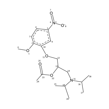 COc1ccc([N+](=O)[O-])cc1OCC(CN(C(C)C)C(C)C)OC(C)=O